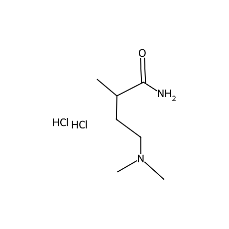 CC(CCN(C)C)C(N)=O.Cl.Cl